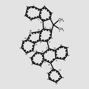 CC1(C)c2ccc3ccccc3c2-c2c1cc(-c1c3ccccc3c(-c3ccccc3)c3ccccc13)c1c2oc2ccccc21